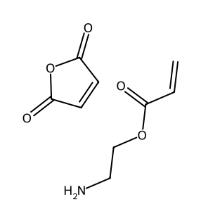 C=CC(=O)OCCN.O=C1C=CC(=O)O1